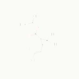 CC(C)OC(=O)C1C(C=C(Cl)Cl)C1(C)C